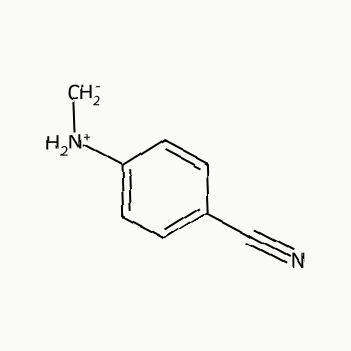 [CH2-][NH2+]c1ccc(C#N)cc1